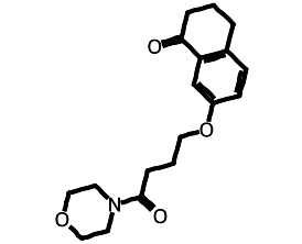 O=C1CCCc2ccc(OCCCC(=O)N3CCOCC3)cc21